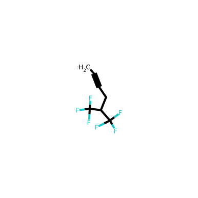 [CH2]C#CCC(C(F)(F)F)C(F)(F)F